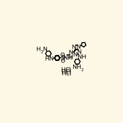 Cl.Cl.Cl.NC1CCC(Nc2ccc(S(=O)(=O)NCCNc3nc(N[C@H]4CC[C@H](N)CC4)nc4c3ncn4C3CCCC3)cc2)CC1